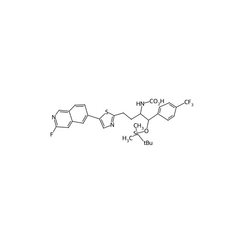 CC(C)(C)[Si](C)(C)OC(c1ccc(C(F)(F)F)cc1)C(CCc1ncc(-c2ccc3cnc(F)cc3c2)s1)NC(=O)O